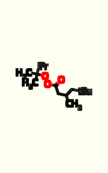 CC(CC(=O)OOC(C)(C)C(C)C)CC(C)(C)C